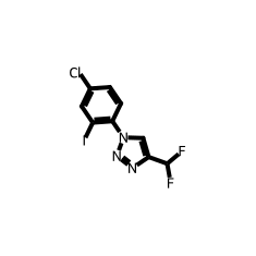 FC(F)c1cn(-c2ccc(Cl)cc2I)nn1